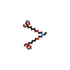 CCN(CCOCCCCC[Si](OC)(OC)OC)CCOCCCCC[Si](OC)(OC)OC